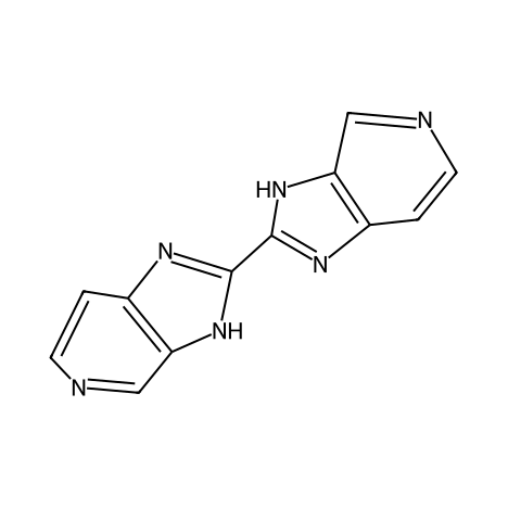 c1cc2nc(-c3nc4ccncc4[nH]3)[nH]c2cn1